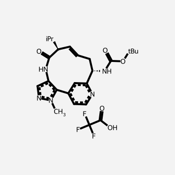 CC(C)[C@H]1/C=C/C[C@H](NC(=O)OC(C)(C)C)c2cc(ccn2)-c2c(cnn2C)NC1=O.O=C(O)C(F)(F)F